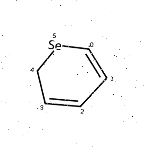 [C]1=CC=CC[Se]1